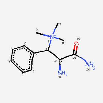 C[N+](C)(C)C(c1ccccc1)[C@H](N)C(N)=O